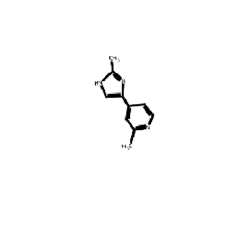 Cc1cc(-c2c[nH]c(C)n2)ccn1